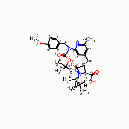 COc1ccc(CN(C(=O)OC(C)(C)C)c2cc(C[C@H]3C(=O)N([SiH](C)C(C)(C)C)[C@@H]3C(=O)O)cc(C)n2)cc1